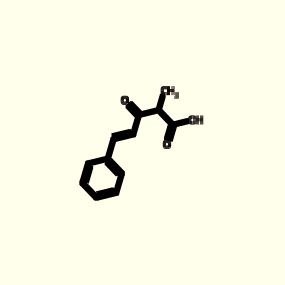 CC(C(=O)O)C(=O)C=Cc1ccccc1